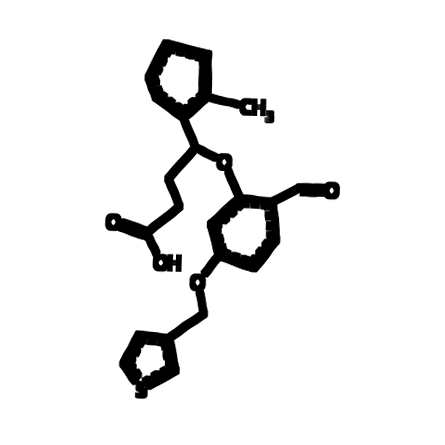 Cc1ccccc1C(CCC(=O)O)Oc1cc(OCc2ccsc2)ccc1C=O